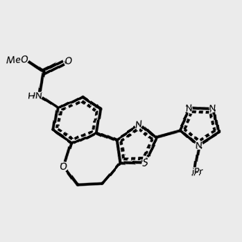 COC(=O)Nc1ccc2c(c1)OCCc1sc(-c3nncn3C(C)C)nc1-2